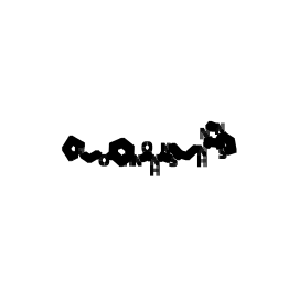 O=C(Nc1cccc(OCCN2CCCC2)c1)Nc1ncc(CCNc2ncnc3ccsc23)s1